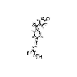 CCN(CCO)CCC#CC1CCN(C(=O)c2ccc(Cl)cc2)CC1